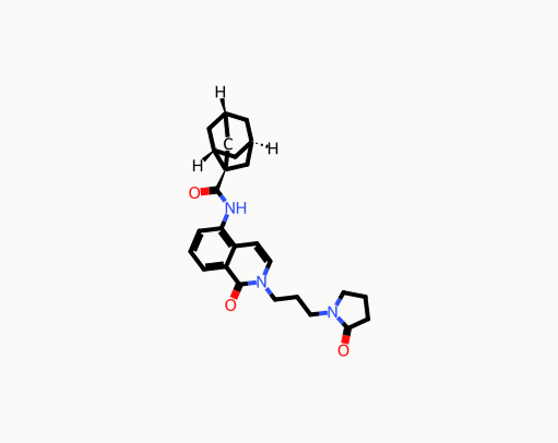 O=C1CCCN1CCCn1ccc2c(NC(=O)[C@@]34C[C@@H]5C[C@@H](C[C@@H]3C5)C4)cccc2c1=O